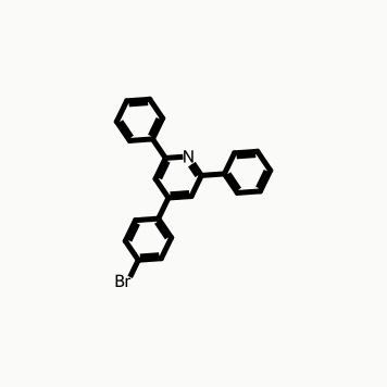 Brc1ccc(-c2cc(-c3ccccc3)nc(-c3ccccc3)c2)cc1